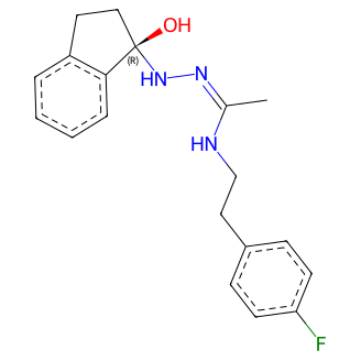 CC(=NN[C@@]1(O)CCc2ccccc21)NCCc1ccc(F)cc1